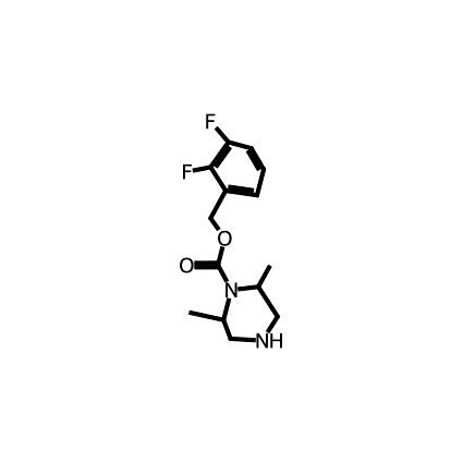 CC1CNCC(C)N1C(=O)OCc1cccc(F)c1F